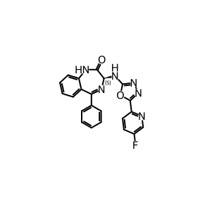 O=C1Nc2ccccc2C(c2ccccc2)=N[C@@H]1Nc1nnc(-c2ccc(F)cn2)o1